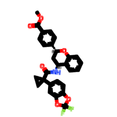 COC(=O)c1ccc([C@H]2C[C@@H](NC(=O)C3(c4ccc5c(c4)OC(F)(F)O5)CC3)c3ccccc3O2)cc1